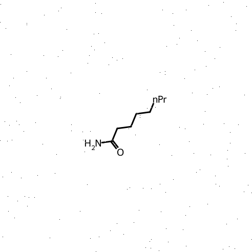 CCCCCCCC(N)=O